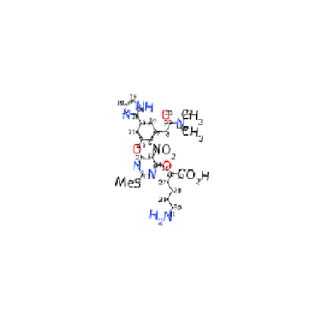 CSc1nc(Oc2cc(CC(=O)N(C)C)cc(-c3ncc[nH]3)c2)c([N+](=O)[O-])c(OC(CCCCN)C(=O)O)n1